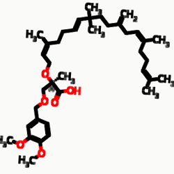 C=C(CC=C(C)CCC=C(C)C)CCC(C)(C)C=CCCC(C)=CCO[C@](C)(COCc1ccc(OC)c(OC)c1)C(=O)O